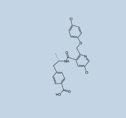 C[C@@H](Cc1ccc(C(=O)O)cc1)NC(=O)c1cc(Cl)cnc1COc1ccc(Cl)cc1